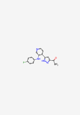 BC(=O)c1cc(-c2ccncc2Nc2ccc(F)cc2)[nH]n1